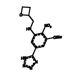 COc1cc(-c2nnn[nH]2)cc(NCC2CCO2)c1[N+](=O)[O-]